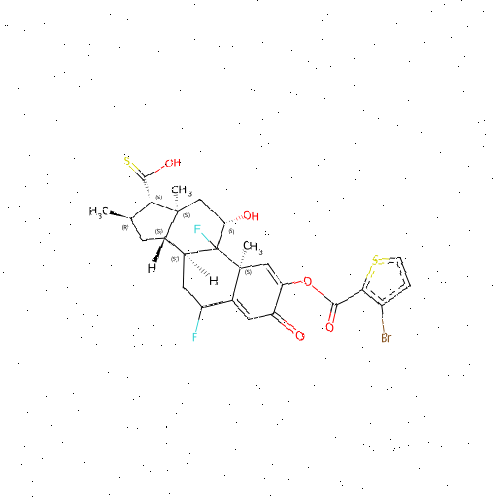 C[C@@H]1C[C@H]2[C@@H]3CC(F)C4=CC(=O)C(OC(=O)c5sccc5Br)=C[C@]4(C)C3(F)[C@@H](O)C[C@]2(C)[C@H]1C(O)=S